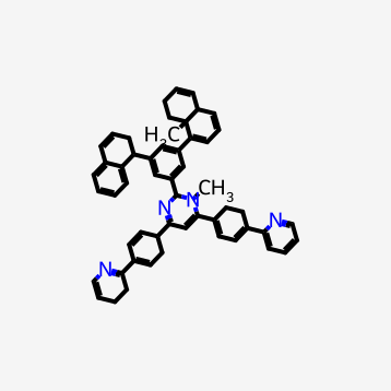 CN1C(C2=CC=C(c3ccccn3)CC2)=CC(C2C=CC(C3=NC=CCC3)=CC2)=NC1c1cc(C2=CC=CC3C=CCCC23C)cc(C2CC=Cc3ccccc32)c1